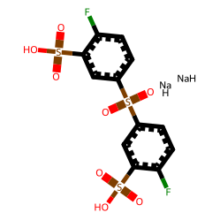 O=S(=O)(O)c1cc(S(=O)(=O)c2ccc(F)c(S(=O)(=O)O)c2)ccc1F.[NaH].[NaH]